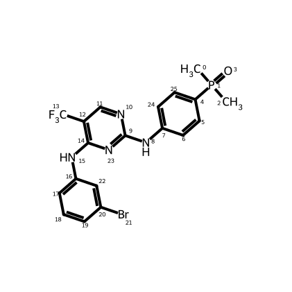 CP(C)(=O)c1ccc(Nc2ncc(C(F)(F)F)c(Nc3cccc(Br)c3)n2)cc1